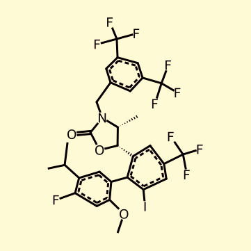 COc1cc(F)c(C(C)C)cc1-c1c(I)cc(C(F)(F)F)cc1[C@@H]1OC(=O)N(Cc2cc(C(F)(F)F)cc(C(F)(F)F)c2)[C@@H]1C